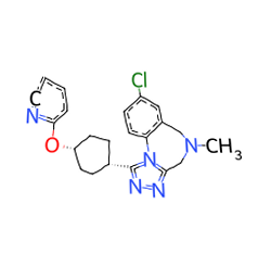 CN1Cc2cc(Cl)ccc2-n2c(nnc2[C@H]2CC[C@@H](Oc3ccccn3)CC2)C1